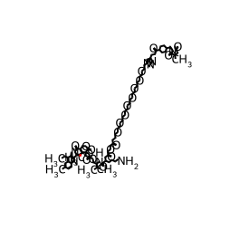 CCc1c2c(nc3ccc(C)cc13)-c1cc3c(c(=O)n1C2)COC(=O)C3(CC)OC(=O)OCC(NC(=O)C(CCCCN)CC(=O)COCC(=O)CCCOCCOCCOCCOCCOCCOCCOCCOCCn1cc(CCC(=O)C2CCC(CN3C(=O)CC(C)C3=O)CC2)nn1)C(C)C